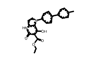 CCOC(=O)c1c(O)c2c(ccn2-c2ccc(-c3ccc(C)cc3)cc2)[nH]c1=O